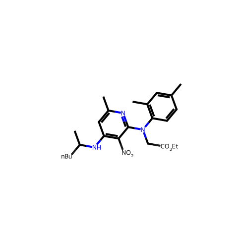 CCCCC(C)Nc1cc(C)nc(N(CC(=O)OCC)c2ccc(C)cc2C)c1[N+](=O)[O-]